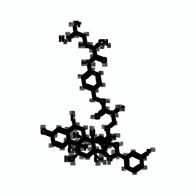 CCN(COCC(=O)[C@@]12O[C@H](c3cccc(F)c3)O[C@@H]1C[C@H]1[C@@H]3C[C@H](F)C4=CC(=O)C=C[C@]4(C)[C@@]3(F)[C@@H](O)C[C@@]12C)C(=O)OCc1ccc(NC(=O)[C@H](C)NCC(N)C(C)C)cc1